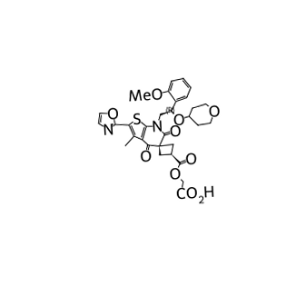 COc1ccccc1[C@H](CN1c2sc(-c3ncco3)c(C)c2C(=O)[C@]2(C[C@H](C(=O)OCC(=O)O)C2)C1=O)OC1CCOCC1